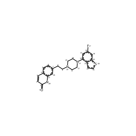 O=C1C=Cc2ccc(CCN3CCN(c4cc(F)cc5sccc45)CC3)cc2[N]1